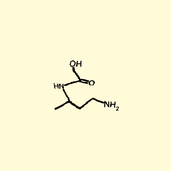 CC(CCN)NC(=O)O